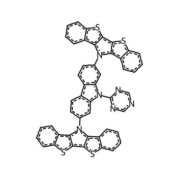 c1ccc2c(c1)sc1c3sc4ccccc4c3n(-c3ccc4c5ccc(-n6c7c8ccccc8sc7c7sc8ccccc8c76)cc5n(-c5ncncn5)c4c3)c21